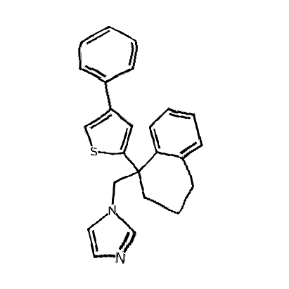 c1ccc(-c2csc(C3(Cn4ccnc4)CCCc4ccccc43)c2)cc1